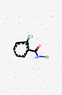 CCNC(=O)c1ccc[c]c1Cl